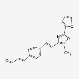 Cc1oc(-c2ccco2)nc1/C=C/c1ccc(/C=C/C=O)cc1